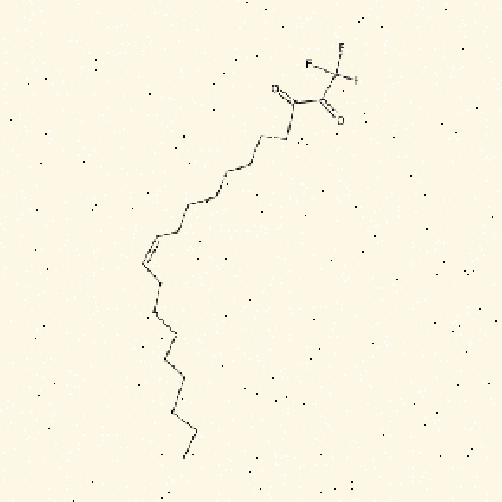 CCCCCCCC/C=C\CCCCCCCC(=O)C(=O)C(F)(F)F